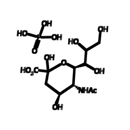 CC(=O)N[C@@H]1[C@@H](O)CC(O)(C(=O)O)O[C@H]1C(O)C(O)CO.O=P(O)(O)O